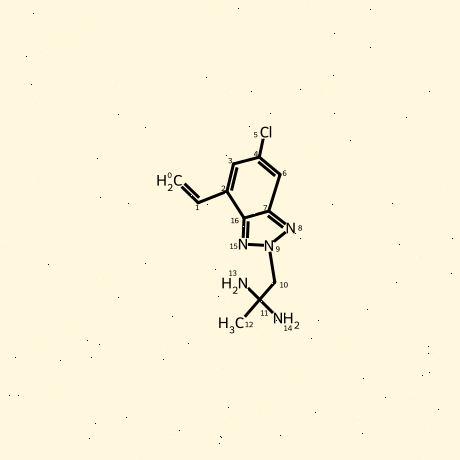 C=Cc1cc(Cl)cc2nn(CC(C)(N)N)nc12